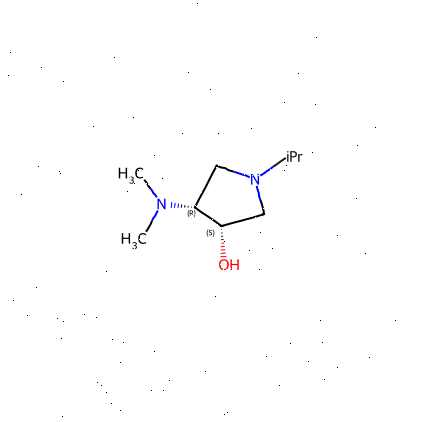 CC(C)N1C[C@@H](N(C)C)[C@@H](O)C1